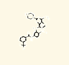 Cc1ccc(NC(=O)c2cccc(C(F)(F)F)c2)cc1Nc1ncnc2c(N)nc(N3CCNCC3)nc12